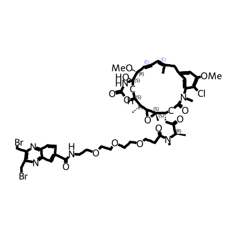 COc1cc2cc(c1Cl)N(C)C(=O)C[C@H](CC(=O)[C@@H](C)N(C)C(=O)CCOCCOCCOCCNC(=O)c1ccc3nc(CBr)c(CBr)nc3c1)[C@]1(C)OC1[C@H](C)[C@@H]1C[C@@](O)(NC(=O)O1)[C@H](OC)/C=C/C=C(\C)C2